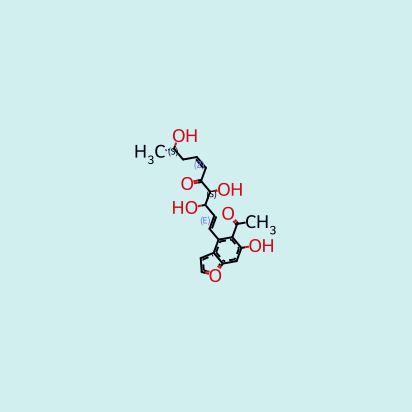 CC(=O)c1c(O)cc2occc2c1/C=C/C(O)[C@H](O)C(=O)/C=C\C[C@H](C)O